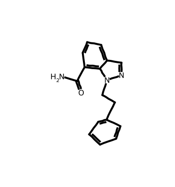 NC(=O)c1cccc2cnn(CCc3ccccc3)c12